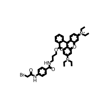 CCN(CC)c1ccc2c(-c3ccccc3C(=O)OCCCNC(=O)c3ccc(NC(=O)CBr)cc3)c3ccc(=[N+](CC)CC)cc-3oc2c1